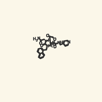 C[C@H]1[C@@H]2N(C(=O)NCc3ccncc3)OCC(=O)N2[C@@H](CC(N)=O)C(=O)N1Cc1cccc2ccccc12